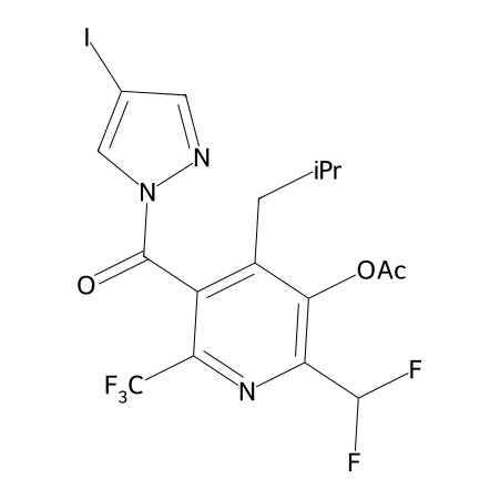 CC(=O)Oc1c(C(F)F)nc(C(F)(F)F)c(C(=O)n2cc(I)cn2)c1CC(C)C